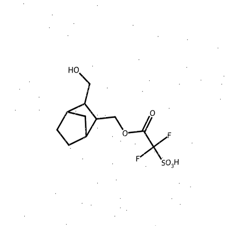 O=C(OCC1C2CCC(C2)C1CO)C(F)(F)S(=O)(=O)O